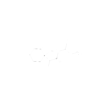 CCC(C(=O)OC(C)O[N+](=O)[O-])C1(OC)CCCCC1